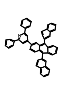 c1ccc(-c2cc(-c3ccc4c(-c5ccc6ccccc6c5)c5ccccc5c(-c5ccc6ccccc6c5)c4c3)cc(-c3ccccc3)n2)cc1